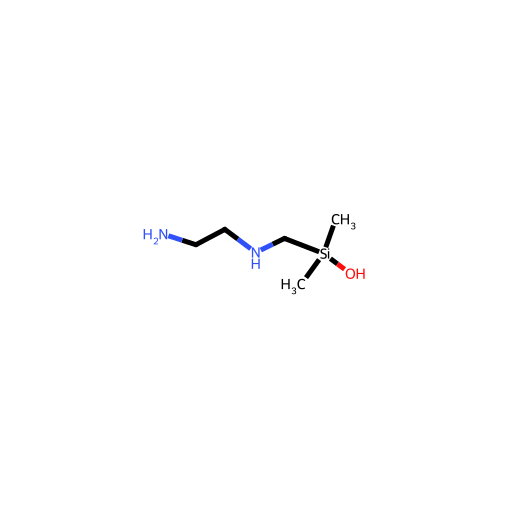 C[Si](C)(O)CNCCN